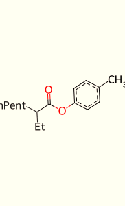 CCCCCC(CC)C(=O)Oc1ccc(C)cc1